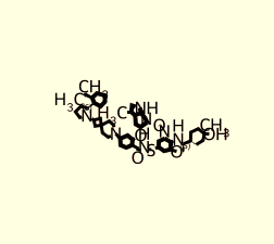 Cc1c[nH]c2ncc(Oc3cc(N4CCC5(CC4)CC(N4CCC[C@H]4c4ccccc4C(C)C)C5)ccc3C(=O)NSc3cc(N=O)c4c(c3)OC[C@H]([C@H]3CC[C@](C)(O)CC3)N4)cc12